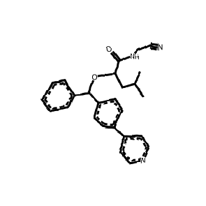 CC(C)CC(OC(c1ccccc1)c1ccc(-c2ccncc2)cc1)C(=O)NCC#N